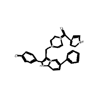 O=C(C1=CCNC=C1)N1CCN(CC2=C(c3ccc(Cl)cc3)NC3C=CC(c4ccccc4)=CN23)CC1